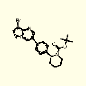 CC(C)(C)OC(=O)N1CCCCC1c1ccc(-c2cnc3c(Br)cnn3c2)cc1